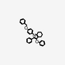 c1ccc(COc2ccc(-n3c4c(c(Oc5ccccc5)c3-c3ccccc3)CCCC4)cc2)cc1